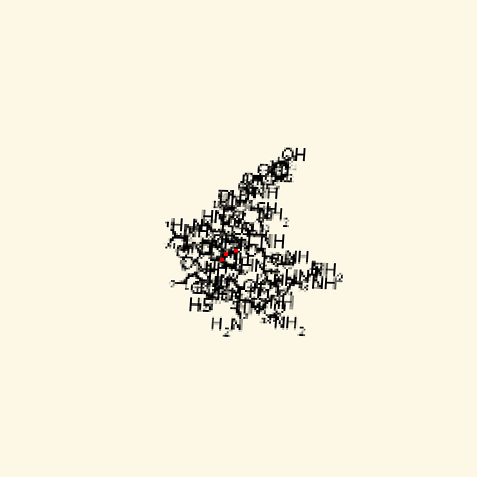 CC[C@H](C)[C@H](NC(=O)[C@@H]1C[C@@H](O)CN1C(=O)[C@@H](N)C(C)C)C(=O)N[C@H](C(=O)N[C@@H](Cc1ccc(O)cc1)C(=O)N[C@@H](CCN)C(=O)N[C@@H](CC(N)=O)C(=O)N[C@@H](CCCNC(=N)N)C(=O)N[C@@H](CCN)C(=O)N[C@@H](CO)C(=O)N[C@H](CCN)C(=O)N[C@@H](CCCCN)C(=O)N[C@@H](CCN)C(=O)N[C@@H](CO)C(=O)N[C@@H](CS)C(=O)N[C@@H](Cc1ccc(O)cc1)C(=O)O)C(C)(C)S